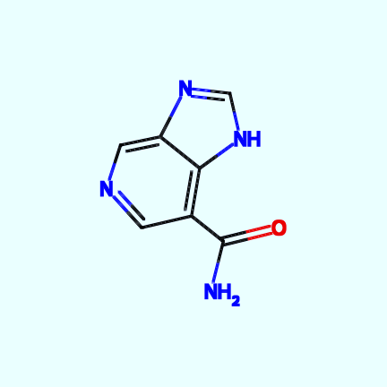 NC(=O)c1cncc2nc[nH]c12